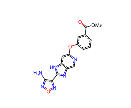 COC(=O)c1cccc(Oc2cc3[nH]c(-c4nonc4N)nc3cn2)c1